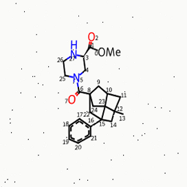 COC(=O)[C@H]1CN(C(=O)C23CC4CC5(C)CC(c6ccccc6)(C2)C45C3)CCN1